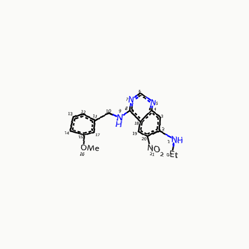 CCNc1cc2ncnc(NCc3cccc(OC)c3)c2cc1[N+](=O)[O-]